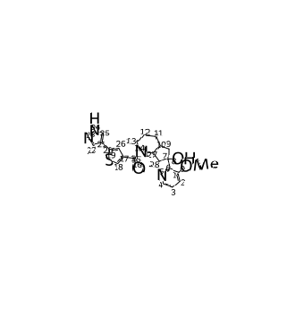 COc1cccnc1C1(O)CC2CCCN(C(=O)c3csc(-c4cn[nH]c4)c3)C2C1